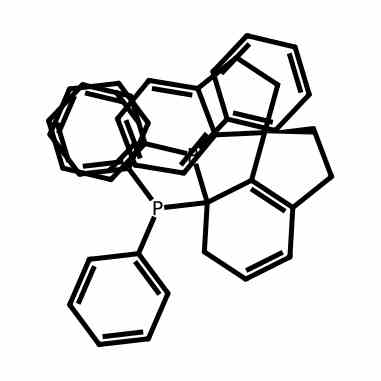 C1=CC2=C(C(P(c3ccccc3)c3ccccc3)(P(c3ccccc3)c3ccccc3)C1)[C@@]1(CC2)CCc2ccccc21